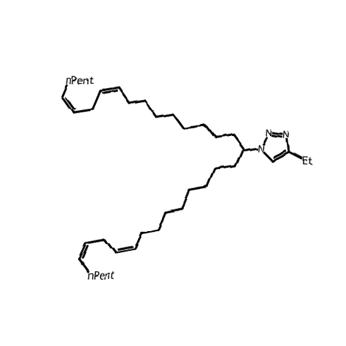 CCCCC/C=C\C/C=C\CCCCCCCCC(CCCCCCCC/C=C\C/C=C\CCCCC)n1cc(CC)nn1